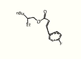 CCCCC(CC)COC(=O)C=Cc1ccc(F)cc1